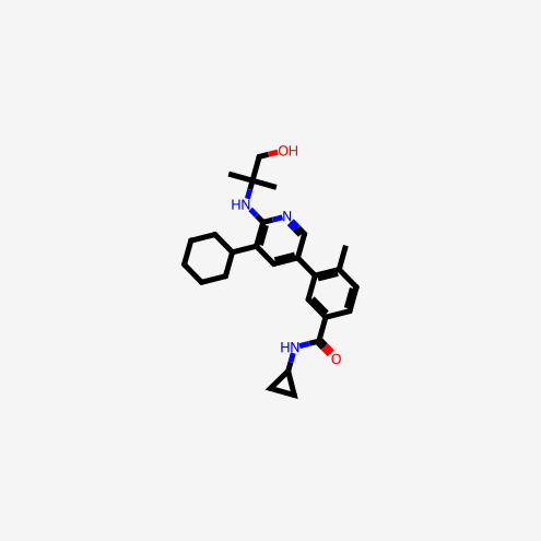 Cc1ccc(C(=O)NC2CC2)cc1-c1cnc(NC(C)(C)CO)c(C2CCCCC2)c1